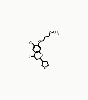 COCCCOc1cc2c(cc1Cl)C(=O)CC(C1CCOC1)O2